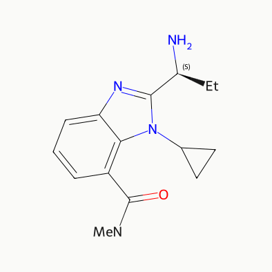 CC[C@H](N)c1nc2cccc(C(=O)NC)c2n1C1CC1